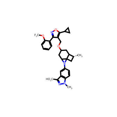 C[C@@H]1CC23C1CC(OCc1c(-c4ccccc4OC(F)(F)F)noc1C1CC1)CC2N3c1ccc2c(c1)c(C(=O)O)nn2C